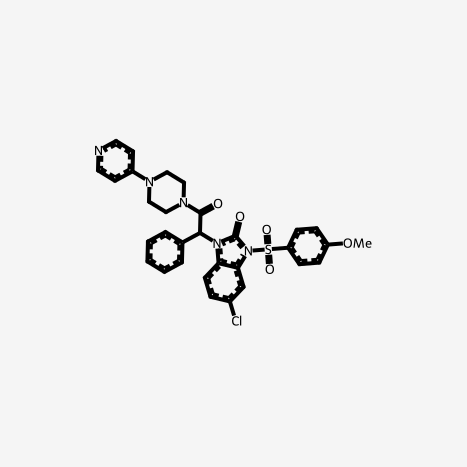 COc1ccc(S(=O)(=O)n2c(=O)n(C(C(=O)N3CCN(c4ccncc4)CC3)c3ccccc3)c3ccc(Cl)cc32)cc1